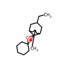 CCC1CC2CC(C)CC(C1)C21OOC2(CCCCC2)O1